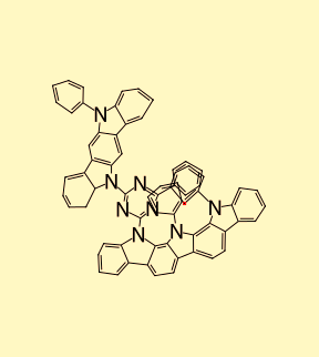 C1=CCC2C(=C1)c1cc3c(cc1N2c1nc(-c2ccccc2)nc(-n2c4ccccc4c4ccc5c6ccc7c8ccccc8n(-c8ccccc8)c7c6n(-c6ccccc6)c5c42)n1)c1ccccc1n3-c1ccccc1